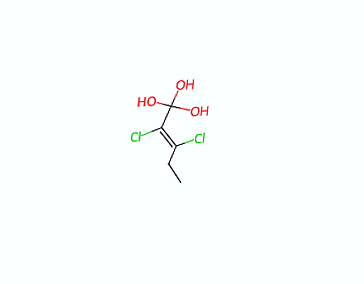 CCC(Cl)=C(Cl)C(O)(O)O